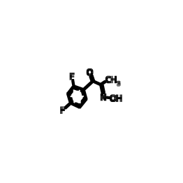 CC(=NO)C(=O)c1ccc(F)cc1F